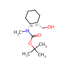 CN(C(=O)OC(C)(C)C)[C@@H]1CCCC[C@@H]1CO